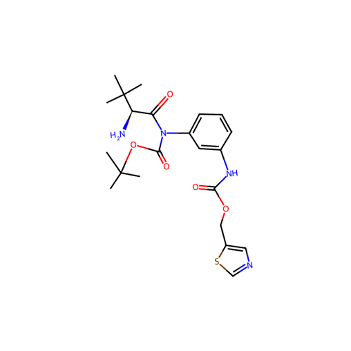 CC(C)(C)OC(=O)N(C(=O)[C@@H](N)C(C)(C)C)c1cccc(NC(=O)OCc2cncs2)c1